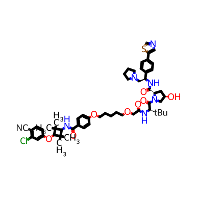 CC1(C)C(NC(=O)c2ccc(OCCCCCOCC(=O)N[C@H](C(=O)N3C[C@H](O)C[C@H]3C(=O)N[C@@H](CN3CCCC3)c3ccc(-c4cncs4)cc3)C(C)(C)C)cc2)C(C)(C)C1Oc1ccc(C#N)c(Cl)c1